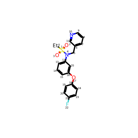 CCS(=O)(=O)N(Cc1cccnc1)c1cccc(Oc2ccc(F)cc2)c1